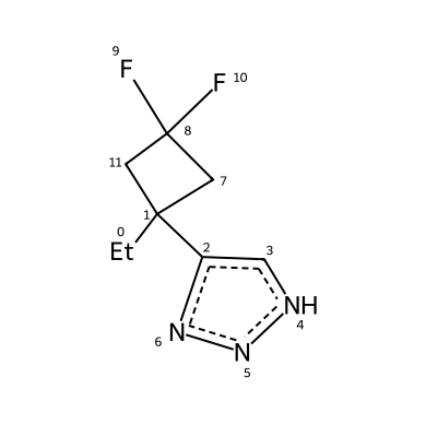 CCC1(c2c[nH]nn2)CC(F)(F)C1